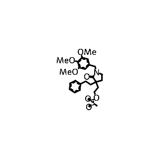 COc1cc(CN2CCC(CCOS(C)(=O)=O)(CCc3ccccc3)C2=O)cc(OC)c1OC